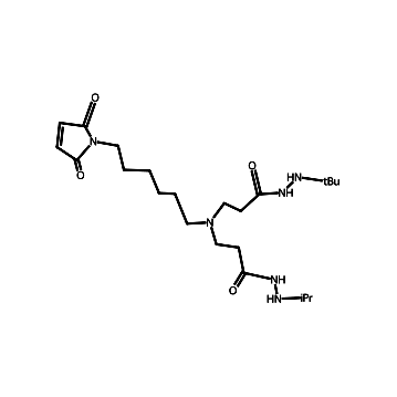 CC(C)NNC(=O)CCN(CCCCCCN1C(=O)C=CC1=O)CCC(=O)NNC(C)(C)C